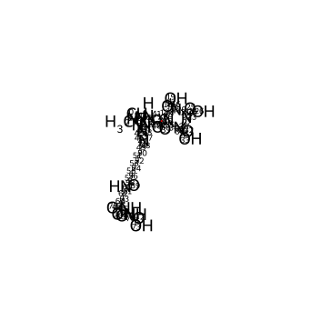 CN(C)c1nc(Nc2cccc(CC3CN(CC(=O)O)CCN(CC(=O)O)CCN(CC(=O)O)CCN3CC(=O)O)c2)nc(N2CCN(CCCCCCCCCCC(=O)NCCCCC(NC(=O)NCC(=O)O)C(=O)O)CC2)n1